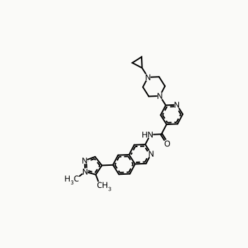 Cc1c(-c2ccc3cnc(NC(=O)c4ccnc(N5CCN(C6CC6)CC5)c4)cc3c2)cnn1C